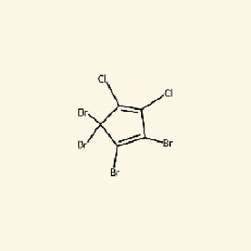 ClC1=C(Cl)C(Br)(Br)C(Br)=C1Br